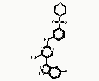 Nc1nc(Nc2cccc(S(=O)(=O)N3CCOCC3)c2)ncc1-c1n[nH]c2ccc(F)cc12